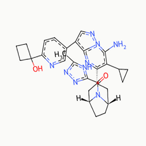 Cc1nnc(C(=O)N2[C@@H]3CC[C@H]2C[C@@H](c2nc4c(-c5ccc(C6(O)CCC6)nc5)cnn4c(N)c2C2CC2)C3)[nH]1